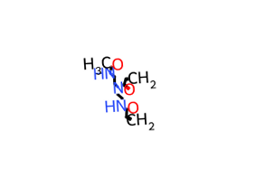 C=CC(=O)NCCN(CCNC(C)=O)C(=O)C=C